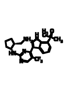 CP(C)(=O)c1cccc2c(-c3nc(N[C@@H]4CCC[C@H]4CN)ncc3C(F)(F)F)c[nH]c12